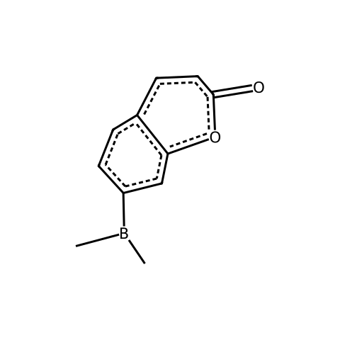 CB(C)c1ccc2ccc(=O)oc2c1